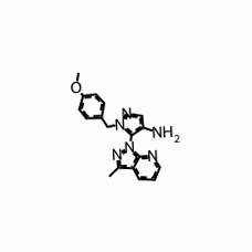 COc1ccc(Cn2ncc(N)c2-n2nc(C)c3cccnc32)cc1